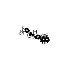 Cc1nc2cccc(F)c2c(=O)n1-c1ccc(SCC(=O)Nc2ccc(F)c(Br)c2)cc1